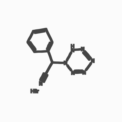 Br.N#CC(c1ccccc1)N1N=NN=NN1